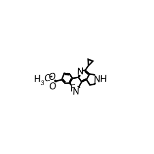 COC(=O)c1ccc(-c2nc(C3CC3)c3c(c2C#N)CCNC3)c(F)c1